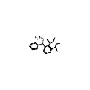 CCC(C)c1cccc(C(O[SiH3])c2ccccc2)c1C(C)CC